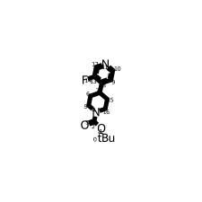 CC(C)(C)OC(=O)N1CCC(c2ccncc2F)CC1